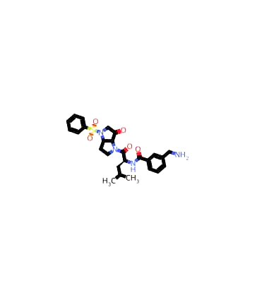 CC(C)C[C@H](NC(=O)c1cccc(CN)c1)C(=O)N1CCC2C1C(=O)CN2S(=O)(=O)c1ccccc1